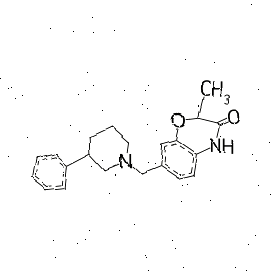 CC1Oc2cc(CN3CCCC(c4ccccc4)C3)ccc2NC1=O